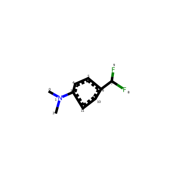 CN(C)c1ccc(C(F)F)cc1